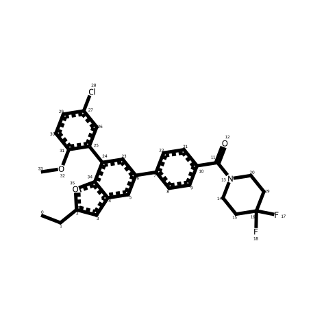 CCc1cc2cc(-c3ccc(C(=O)N4CCC(F)(F)CC4)cc3)cc(-c3cc(Cl)ccc3OC)c2o1